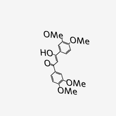 COc1ccc(C(=O)/C=C(\O)c2ccc(OC)c(OC)c2)cc1OC